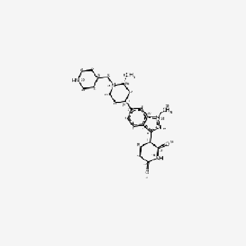 C[C@@H]1C[C@@H](c2ccc3c(C4CCC(=O)NC4=O)nn(C)c3c2)CCN1CC1CCNCC1